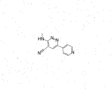 CNc1nnc(-c2ccncc2)cc1C#N